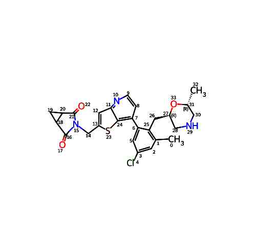 Cc1cc(Cl)cc(-c2ccnc3cc(CN4C(=O)C5CC5C4=O)sc23)c1C[C@@H]1CNC[C@@H](C)O1